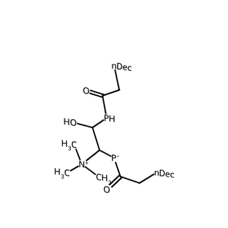 CCCCCCCCCCCC(=O)[P-]C(C(O)PC(=O)CCCCCCCCCCC)[N+](C)(C)C